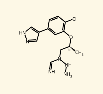 C[C@@H](CN(C=N)NN)Oc1cc(-c2cn[nH]c2)ccc1Cl